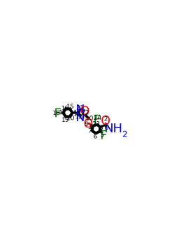 NC(=O)c1c(F)ccc(OCc2nc(-c3ccc(F)cc3)no2)c1F